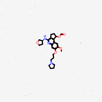 COc1cc2c3c(c(N[C@H]4CCOC4)nc2cc1OCCCN1CCCC1)CCC3OC=O